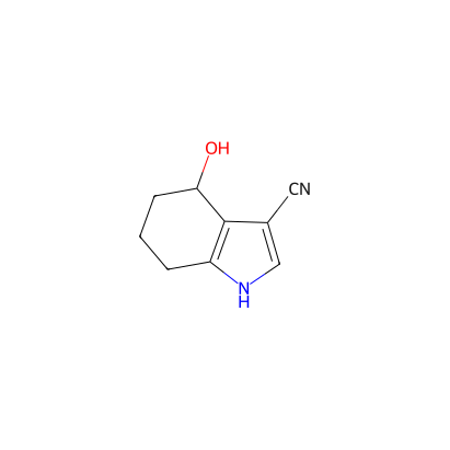 N#Cc1c[nH]c2c1C(O)CCC2